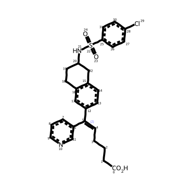 O=C(O)CCC/C=C(\c1cccnc1)c1ccc2c(c1)CCC(NS(=O)(=O)c1ccc(Cl)cc1)C2